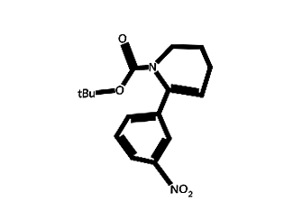 CC(C)(C)OC(=O)N1CCCC=C1c1cccc([N+](=O)[O-])c1